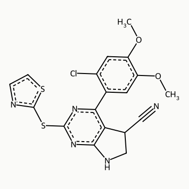 COc1cc(Cl)c(-c2nc(Sc3nccs3)nc3c2C(C#N)CN3)cc1OC